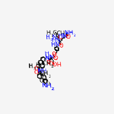 CC(C)[C@H](N)C(=O)N[C@@H](CCCNC(N)=O)C(=O)Nc1ccc(COC(=O)N[C@@H](CC(=O)O)C(=O)Nc2ccc3c(c2)[C@@]2(C)CCC[C@](C)(C(=O)NC(=O)[C@@]4(C)CCC[C@]5(C)c6cc(N)ccc6CC[C@@H]45)[C@@H]2CC3)cc1